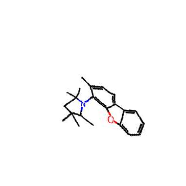 Cc1ccc2c(oc3ccccc32)c1N1C(C)C(C)(C)CC1(C)C